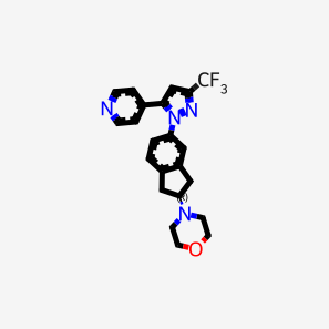 FC(F)(F)c1cc(-c2ccncc2)n(-c2ccc3c(c2)C[C@H](N2CCOCC2)C3)n1